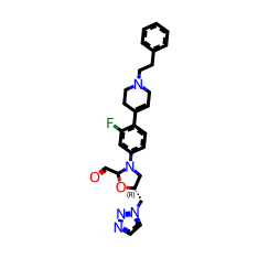 O=CC1O[C@@H](Cn2ccnn2)CN1c1ccc(C2=CCN(CCc3ccccc3)CC2)c(F)c1